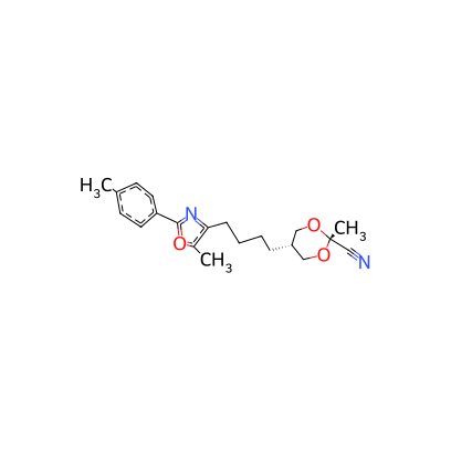 Cc1ccc(-c2nc(CCCC[C@H]3CO[C@@](C)(C#N)OC3)c(C)o2)cc1